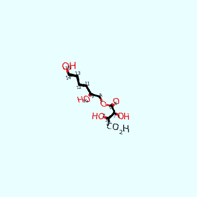 O=C(O)C(O)C(O)C(=O)OCC(O)CCCCO